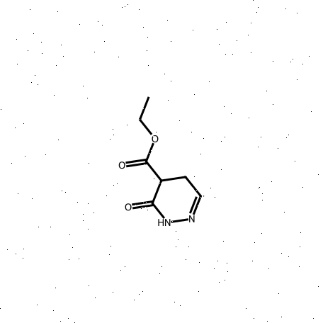 CCOC(=O)C1C[C]=NNC1=O